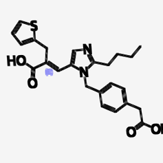 CCCCc1ncc(/C=C(\Cc2cccs2)C(=O)O)n1Cc1ccc(CC(=O)O)cc1